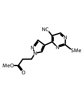 COC(=O)CCn1cc(-c2nc(SC)ncc2C#N)cn1